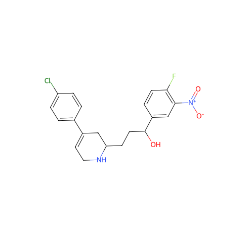 O=[N+]([O-])c1cc(C(O)CCC2CC(c3ccc(Cl)cc3)=CCN2)ccc1F